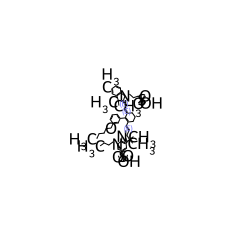 CCCCCOc1cccc(C2=C(/C=C/C3=Nc4c(cc(S(=O)(=O)O)c[n+]4CCCC)C3(C)C)CCC/C2=C\C=C2\N(CCCS(=O)(=O)O)c3ccc(C)cc3C2(C)C)c1